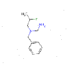 CC(F)CN(CN)Cc1ccccc1